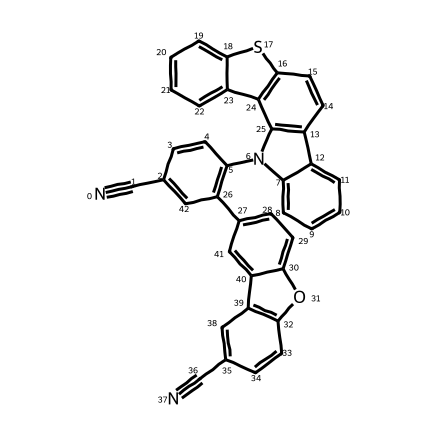 N#Cc1ccc(-n2c3ccccc3c3ccc4sc5ccccc5c4c32)c(-c2ccc3oc4ccc(C#N)cc4c3c2)c1